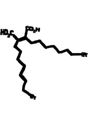 CC(C)CCCCCCCC(C(=O)O)=C(CCCCCCCC(C)C)C(=O)O